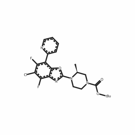 C[C@H]1CN(C(=O)OC(C)(C)C)CCN1c1nc2c(F)c(Cl)c(F)c(-c3ccccn3)c2o1